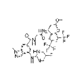 COC(=O)C[C@H](NC(=O)CNC(=O)c1cc(NC2=NCC(F)CN2)c2cnn(C)c2c1)c1cc(C(F)(F)F)cc(C(F)(F)F)c1